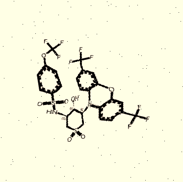 O=S1(=O)C[C@@H](NS(=O)(=O)c2ccc(OC(F)(F)F)cc2)[C@H](O)[C@@H](N2c3ccc(C(F)(F)F)cc3Oc3cc(C(F)(F)F)ccc32)C1